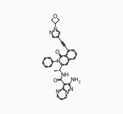 C[C@H](NC(=O)c1c(N)nn2cccnc12)c1cc2cccc(C#Cc3cnn(C4COC4)c3)c2c(=O)n1-c1ccccc1